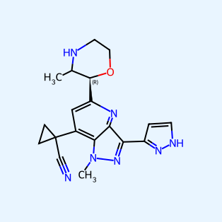 CC1NCCO[C@H]1c1cc(C2(C#N)CC2)c2c(n1)c(-c1cc[nH]n1)nn2C